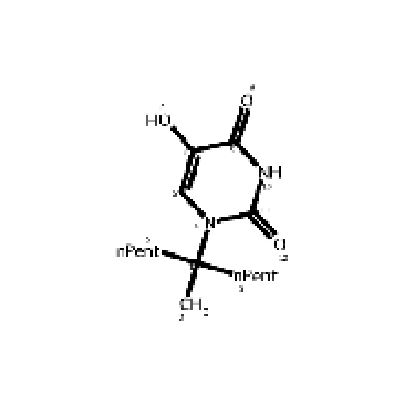 CCCCCC(C)(CCCCC)n1cc(O)c(=O)[nH]c1=O